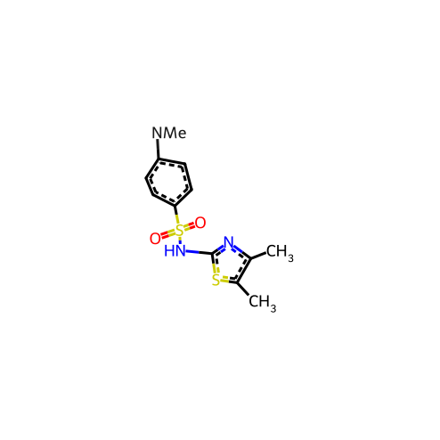 CNc1ccc(S(=O)(=O)Nc2nc(C)c(C)s2)cc1